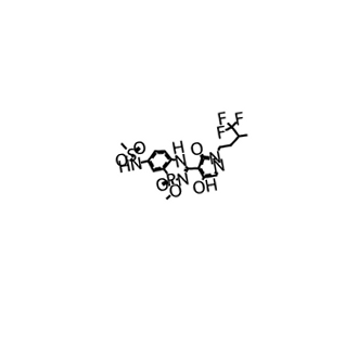 COP1(=O)N=C(c2c(O)cnn(CCC(C)C(F)(F)F)c2=O)Nc2ccc(NS(C)(=O)=O)cc21